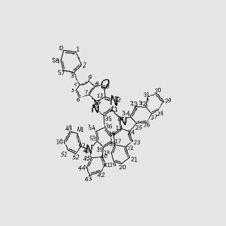 c1ccc(-c2ccc3c(c2)oc2nc(-n4c5cc6ccccc6cc5c5cc6ccccc6cc54)c(-c4ccc5c6ccccc6n(-c6ccccc6)c5c4)nc23)cc1